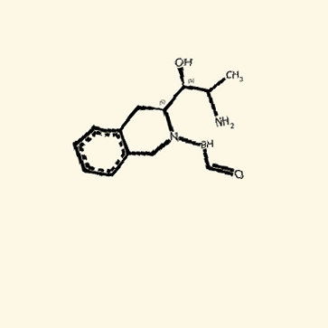 CC(N)[C@H](O)[C@@H]1Cc2ccccc2CN1BC=O